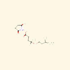 CNC(C)CCOC(C)(C)CCC(=O)ON1C(=O)CCC1=O